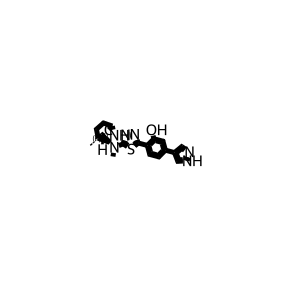 CN(c1nnc(-c2ccc(-c3cn[nH]c3)cc2O)s1)[C@H]1CC2CC[C@]1(C)CN2